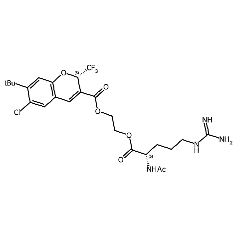 CC(=O)N[C@@H](CCCNC(=N)N)C(=O)OCCOC(=O)C1=Cc2cc(Cl)c(C(C)(C)C)cc2O[C@@H]1C(F)(F)F